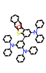 c1ccc(N(c2ccccc2)c2cc(-c3cc(N(c4ccccc4)c4ccccc4)cc4c3sc3c5oc(c6ccccc65)c43)cc(N(c3ccccc3)c3ccccc3)c2)cc1